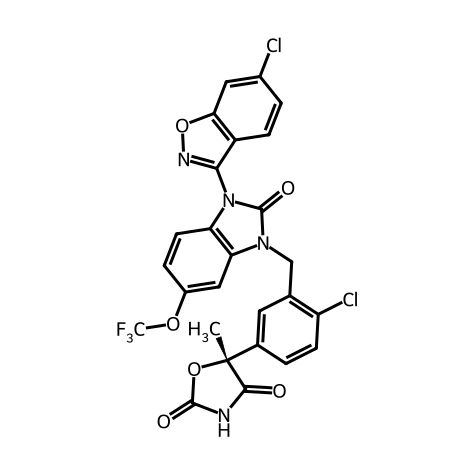 C[C@]1(c2ccc(Cl)c(Cn3c(=O)n(-c4noc5cc(Cl)ccc45)c4ccc(OC(F)(F)F)cc43)c2)OC(=O)NC1=O